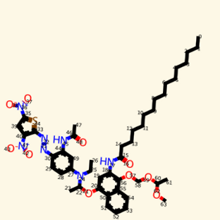 CCCCCCCCCCCCCCCC(=O)Nc1cc(OC(C)N(CC)c2ccc(/N=N/c3sc([N+](=O)[O-])cc3[N+](=O)[O-])c(NC(C)=O)c2)c2ccccc2c1OCOC(C)OC